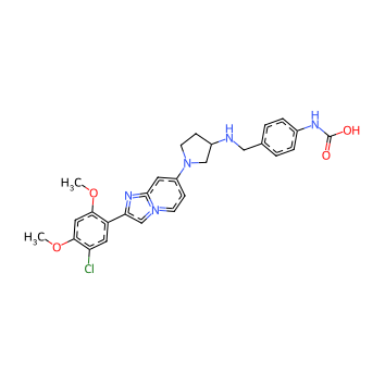 COc1cc(OC)c(-c2cn3ccc(N4CCC(NCc5ccc(NC(=O)O)cc5)C4)cc3n2)cc1Cl